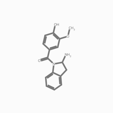 COc1cc(C(=O)N2c3ccccc3CC2N)ccc1O